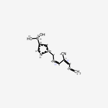 C=N/C=C(C#N)\C=N/Cn1cc(B(O)O)cn1